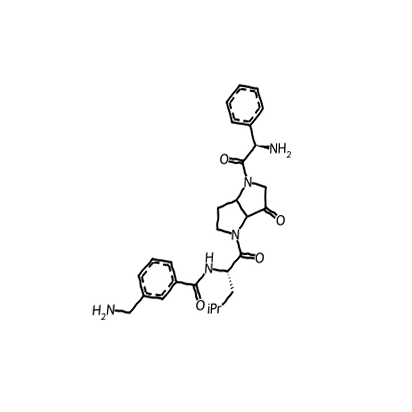 CC(C)C[C@H](NC(=O)c1cccc(CN)c1)C(=O)N1CCC2C1C(=O)CN2C(=O)[C@H](N)c1ccccc1